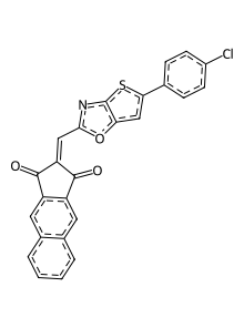 O=C1C(=Cc2nc3sc(-c4ccc(Cl)cc4)cc3o2)C(=O)c2cc3ccccc3cc21